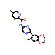 Cc1cnc(C(=O)Nc2cnc(-c3cc4c(cc3C)OCCO4)cn2)c(F)c1